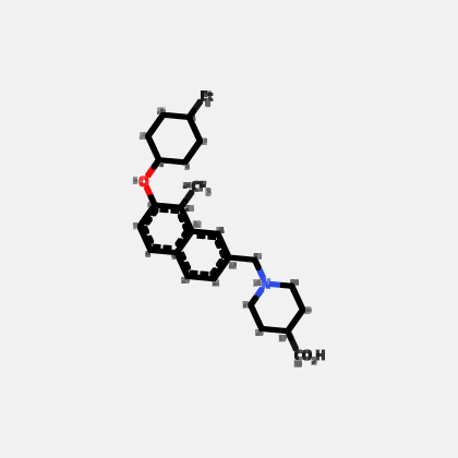 CCC1CCC(Oc2ccc3ccc(CN4CCC(C(=O)O)CC4)cc3c2C(F)(F)F)CC1